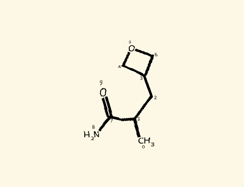 CC(CC1COC1)C(N)=O